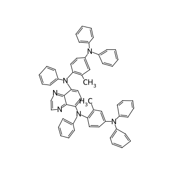 Cc1cc(N(c2ccccc2)c2ccccc2)ccc1N(c1ccccc1)c1ccc(N(c2ccccc2)c2ccc(N(c3ccccc3)c3ccccc3)cc2C)c2nccnc12